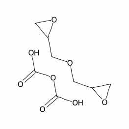 C(OCC1CO1)C1CO1.O=C(O)OC(=O)O